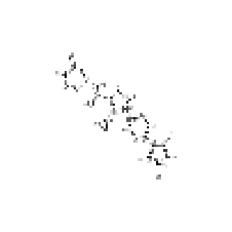 Cc1cc(NC(=O)c2nnn(-c3ccc(-c4c(C)nn(C)c4C)cc3)c2C2CC2)ccn1